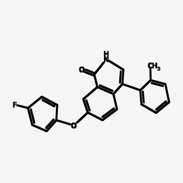 Cc1ccccc1-c1c[nH]c(=O)c2cc(Oc3ccc(F)cc3)ccc12